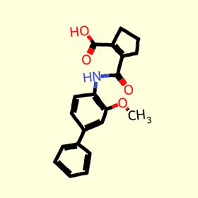 COc1cc(-c2ccccc2)ccc1NC(=O)C1=C(C(=O)O)CCC1